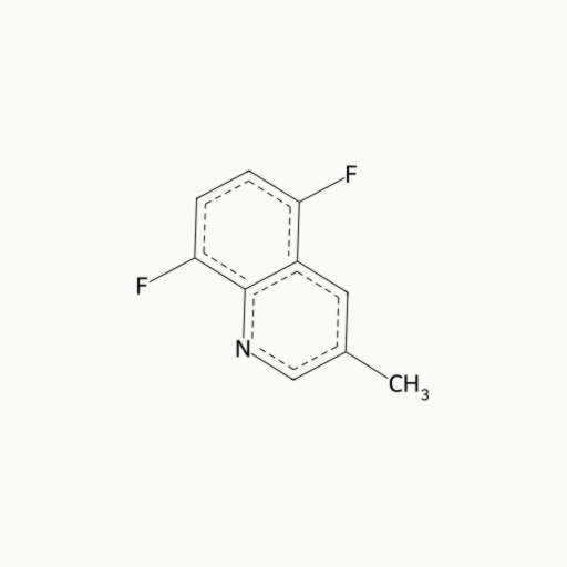 Cc1cnc2c(F)ccc(F)c2c1